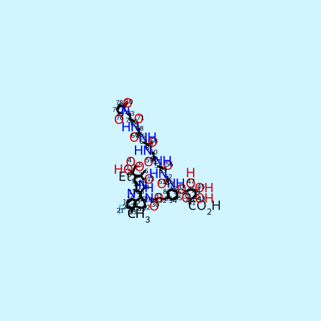 CC[C@@]1(O)C(=O)OCc2c1cc1n(c2=O)Cc2c-1nc1cc(F)c(C)c3c1c2[C@@H](NC(=O)OCc1ccc(O[C@@H]2O[C@H](C(=O)O)[C@@H](O)[C@H](O)[C@H]2O)c(NC(=O)CNC(=O)CNC(=O)CNC(=O)CNC(=O)CNC(=O)CCN2C(=O)C=CC2=O)c1)CC3